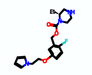 CC[C@@H]1CNCCN1C(=O)OCc1cc(OCCn2cccc2)ccc1F